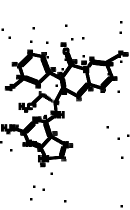 CC[C@@H](Nc1nc(N)nc2[nH]cnc12)c1cc2ccc(F)cn2c(=O)c1-c1cccc(F)c1